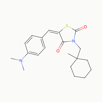 CN(C)c1ccc(C=C2SC(=O)N(CC3(C)CCCCC3)C2=O)cc1